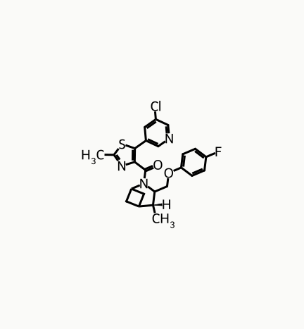 Cc1nc(C(=O)N2C3CC(C3)[C@@H](C)C2COc2ccc(F)cc2)c(-c2cncc(Cl)c2)s1